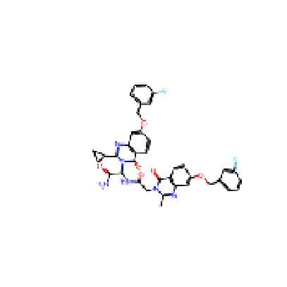 Cc1nc2cc(OCc3cccc(F)c3)ccc2c(=O)n1CC(=O)NC(C(N)=O)n1c(C2CC2)nc2cc(OCc3cccc(F)c3)ccc2c1=O